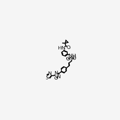 CC1(C(=O)Nc2cccc(NS(=O)(=O)CC=Cc3ccc(-c4noc(-c5cscn5)n4)cc3)c2)CC1